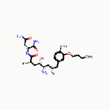 COCCCOc1cc(C[C@@H](C[C@H](N)[C@@H](O)C[C@H](C(=O)N[C@@H](CC(N)=O)C(N)=O)C(C)C)C(C)C)ccc1OC